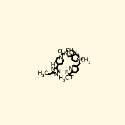 CCc1nnc(C2CCN(C(=O)N(C)CC3(C)CC[N+](C)(CC4=CN=C(C(C)(F)F)CC4)CC3)CC2)[nH]1